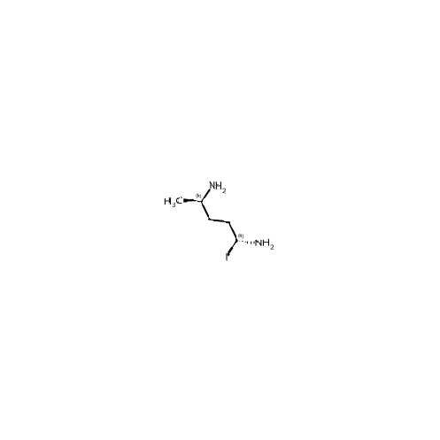 C[C@@H](N)CC[C@H](N)I